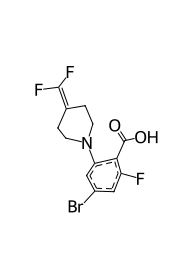 O=C(O)c1c(F)cc(Br)cc1N1CCC(=C(F)F)CC1